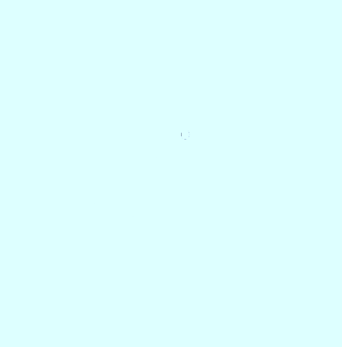 CC(C)Oc1c[c][c]cc1